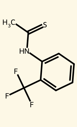 CC(=S)Nc1ccccc1C(F)(F)F